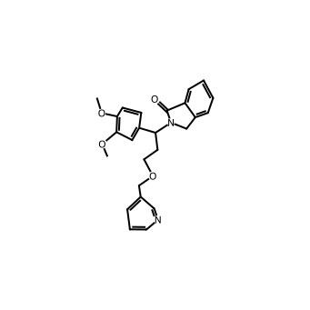 COc1ccc(C(CCOCc2cccnc2)N2Cc3ccccc3C2=O)cc1OC